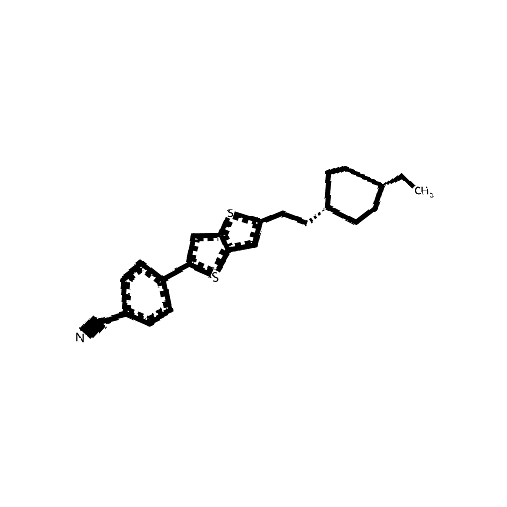 CC[C@H]1CC[C@H](CCc2cc3sc(-c4ccc(C#N)cc4)cc3s2)CC1